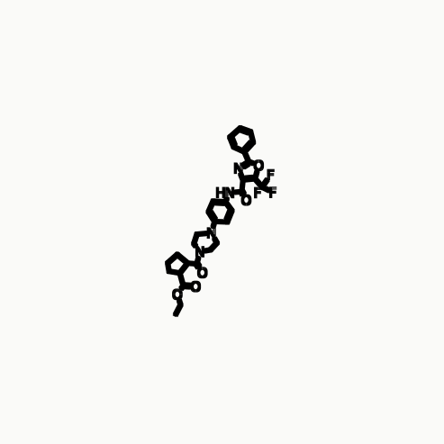 CCOC(=O)C1CCCC1C(=O)N1CCN(c2ccc(NC(=O)c3nc(-c4ccccc4)oc3C(F)(F)F)cc2)CC1